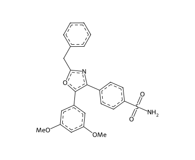 COc1cc(OC)cc(-c2oc(Cc3ccccc3)nc2-c2ccc(S(N)(=O)=O)cc2)c1